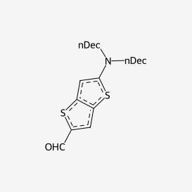 CCCCCCCCCCN(CCCCCCCCCC)c1cc2sc(C=O)cc2s1